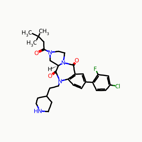 CC(C)(C)CC(=O)N1CCN2C(=O)c3cc(-c4ccc(Cl)cc4F)ccc3N(CCC3CCNCC3)C(=O)[C@H]2C1